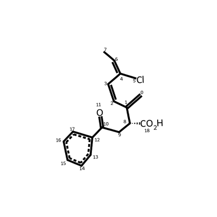 C=C(/C=C\C(Cl)=C/C)[C@@H](CC(=O)c1ccccc1)C(=O)O